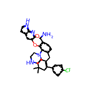 CC1(C)CCC(Cc2ccc(C(N)=O)c(Oc3cnc4[nH]ccc4c3)c2N2CCNCC2)=C(c2ccc(Cl)cc2)C1